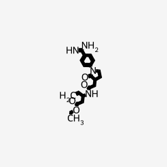 C=CC(CC(=O)OCC)NC(=O)CC1CCN(c2ccc(C(=N)N)cc2)C1=O